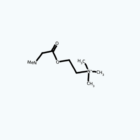 CNCC(=O)OCC[N+](C)(C)C